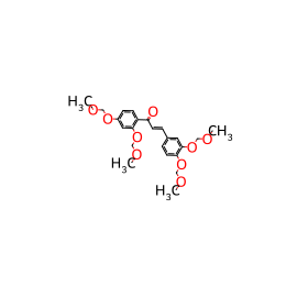 COCOc1ccc(C(=O)C=Cc2ccc(OCOC)c(OCOC)c2)c(OCOC)c1